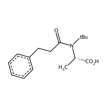 C[C@@H](C(=O)O)N(C(=O)CCc1ccccc1)C(C)(C)C